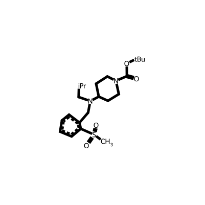 CC(C)CN(Cc1ccccc1S(C)(=O)=O)C1CCN(C(=O)OC(C)(C)C)CC1